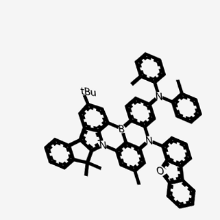 Cc1cc2c3c(c1)-n1c4c(c5cc(C(C)(C)C)cc(c51)B3c1ccc(N(c3ccccc3C)c3ccccc3C)cc1N2c1cccc2c1oc1ccccc12)-c1ccccc1C4(C)C